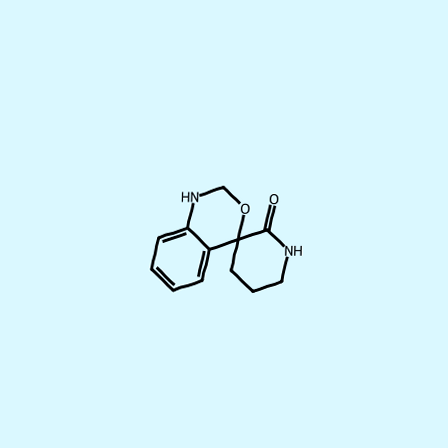 O=C1NCCCC12OCNc1ccccc12